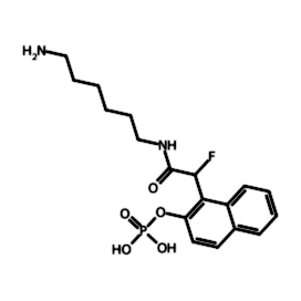 NCCCCCCNC(=O)C(F)c1c(OP(=O)(O)O)ccc2ccccc12